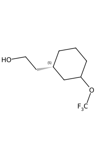 OCC[C@@H]1CCCC(OC(F)(F)F)C1